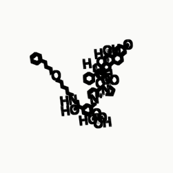 C[C@]12C=CC(=O)C=C1CCC1C2[C@@H](O)C[C@@]2(C)C1C[C@H]1O[C@@H](C3CCCCC3)O[C@]12C(=O)COC(=O)[C@@H]1CCCN1C(=O)c1ccc[n+](Cc2cc(C(O)CNCCCCCCOCCCCc3ccccc3)ccc2OP(=O)(O)O)c1